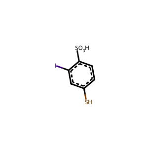 O=S(=O)(O)c1ccc(S)cc1I